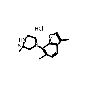 Cc1coc2c(N3CCN[C@H](C)C3)c(F)ccc12.Cl